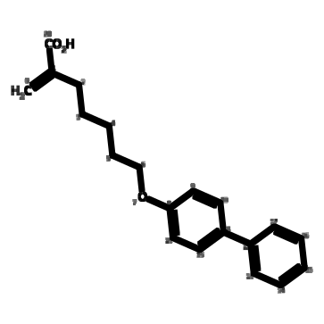 C=C(CCCCCOc1ccc(-c2ccccc2)cc1)C(=O)O